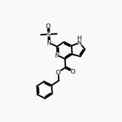 CS(C)(=O)=Nc1cc2[nH]ccc2c(C(=O)OCc2ccccc2)n1